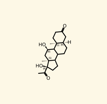 CC(=O)[C@@]1(O)CCC2C3CC[C@@H]4CC(=O)CC[C@]4(C)C3[C@H](O)C[C@@]21C